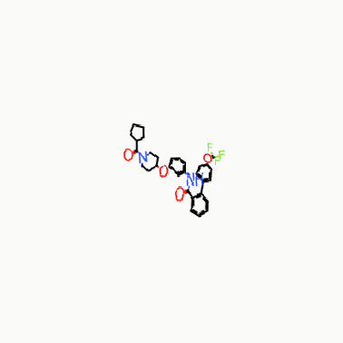 O=C(Nc1cccc(OC2CCN(C(=O)C3CCCC3)CC2)c1)c1ccccc1-c1ccc(OC(F)(F)F)cc1